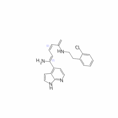 C=C(/C=C\C=C(/N)c1ccnc2[nH]ccc12)NCCc1ccccc1Cl